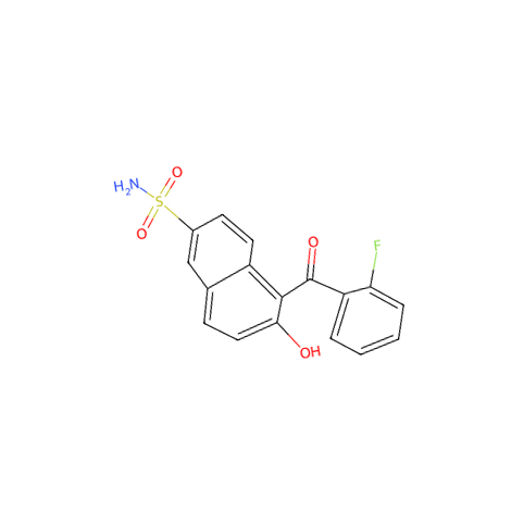 NS(=O)(=O)c1ccc2c(C(=O)c3ccccc3F)c(O)ccc2c1